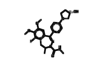 CNC(=O)N1N=C(c2ccc(N3CC[C@H](O)C3)cc2)c2cc(OC)c(OC)c(F)c2CC1C